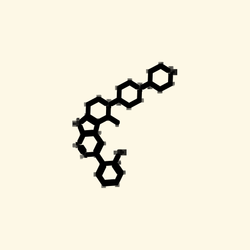 CC1c2c([nH]c3nnc(-c4ccccc4O)cc23)CCN1C1CCN(C2CCNCC2)CC1